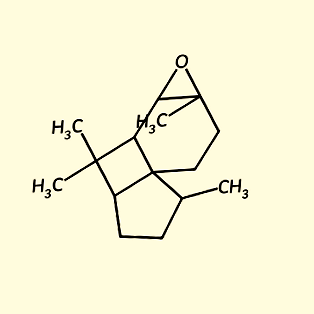 CC1CCC2C(C)(C)C3C4OC4(C)CCC123